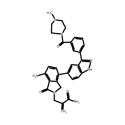 C=C(CN1Cc2c(-c3ccc4[nH]nc(-c5cccc(C(=O)N6CCN(C)CC6)c5)c4c3)ccc(N)c2C1=O)C(N)=O